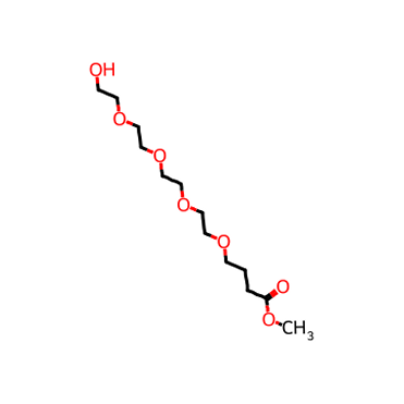 COC(=O)CCCOCCOCCOCCOCCO